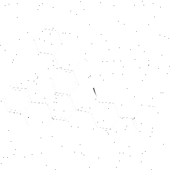 Cc1ccnc(C(C)C)c1-n1c(=O)nc(N2C[C@@H](C)N(C(=O)OC(C)(C)C)C[C@@H]2C)c2cc(C#N)c(C3CCCCC3)nc21